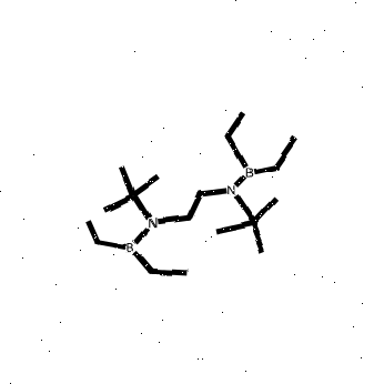 CCB(CC)N(CCN(B(CC)CC)C(C)(C)C)C(C)(C)C